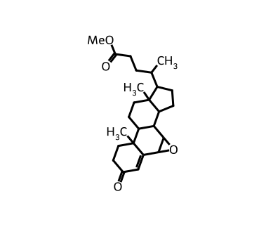 COC(=O)CCC(C)C1CCC2C3C4OC4C4=CC(=O)CCC4(C)C3CCC12C